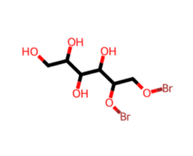 OCC(O)C(O)C(O)C(COBr)OBr